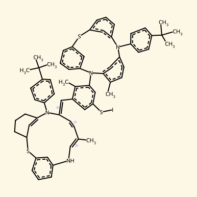 CC1=C\Nc2cccc(c2)SC2C=C(CCC2)N(c2ccc(C(C)(C)C)cc2)C(=C/c2cc(SI)cc(N3c4cccc(c4)Sc4cccc(c4)N(c4ccc(C(C)(C)C)cc4)c4ccc(C)c3c4)c2C)/C=C\1